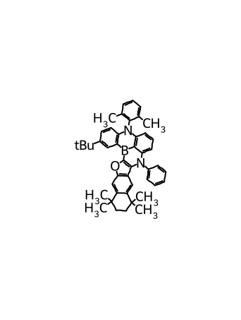 Cc1cccc(C)c1N1c2ccc(C(C)(C)C)cc2B2c3oc4cc5c(cc4c3N(c3ccccc3)c3cccc1c32)C(C)(C)CCC5(C)C